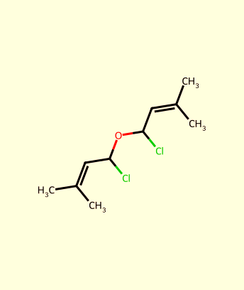 CC(C)=CC(Cl)OC(Cl)C=C(C)C